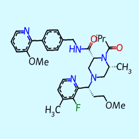 COCC[C@H](c1nccc(C)c1F)N1C[C@@H](C)N(C(=O)C(C)C)[C@@H](C(=O)NCc2ccc(-c3ncccc3OC)cc2)C1